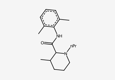 CCCN1CCCC(C)C1C(=O)Nc1c(C)cccc1C